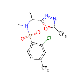 CC(c1nnc(C(F)(F)F)o1)N(C)S(=O)(=O)c1ccc(C(F)(F)F)cc1Cl